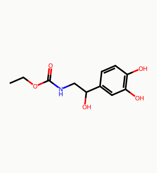 CCOC(=O)NCC(O)c1ccc(O)c(O)c1